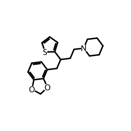 c1csc(C(CCN2CCCCC2)Cc2cccc3c2OCO3)c1